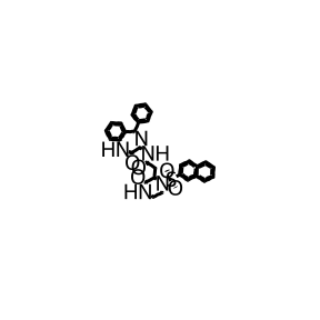 O=C(CC1C(=O)NCCN1S(=O)(=O)c1ccc2ccccc2c1)NC1N=C(c2ccccc2)c2ccccc2NC1=O